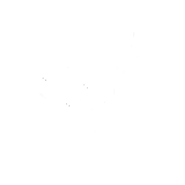 O=c1c2c(C(F)(F)F)nccc2nc(-c2cccc(F)c2O)n1CCc1cccc(F)c1